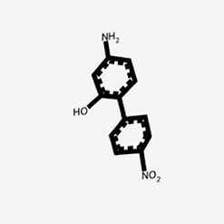 Nc1ccc(-c2ccc([N+](=O)[O-])cc2)c(O)c1